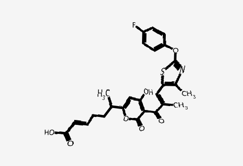 C/C(=C\c1sc(Oc2ccc(F)cc2)nc1C)C(=O)c1c(O)cc(C(C)CC/C=C/C(=O)O)oc1=O